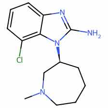 CN1CCCC[C@H](n2c(N)nc3cccc(Cl)c32)C1